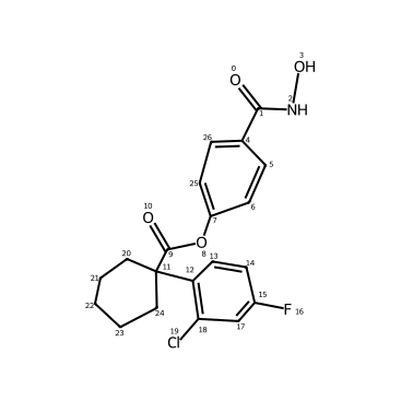 O=C(NO)c1ccc(OC(=O)C2(c3ccc(F)cc3Cl)CCCCC2)cc1